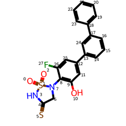 O=S1(=O)NC(=S)CN1c1c(O)cc(-c2cccc(-c3ccccc3)c2)cc1F